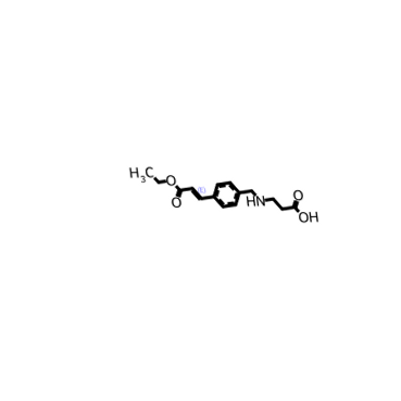 CCOC(=O)/C=C/c1ccc(CNCCC(=O)O)cc1